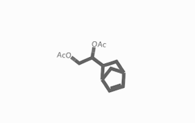 CC(=O)OCC(OC(C)=O)C1CC2C=CC1C2